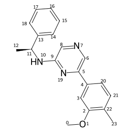 COc1cc(-c2cncc(N[C@@H](C)c3ccccc3)n2)ccc1C